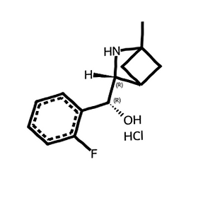 CC12CC(C1)[C@H]([C@H](O)c1ccccc1F)N2.Cl